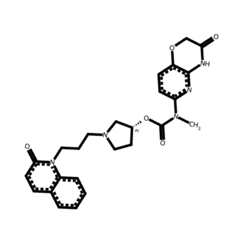 CN(C(=O)O[C@@H]1CCN(CCCn2c(=O)ccc3ccccc32)C1)c1ccc2c(n1)NC(=O)CO2